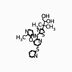 Cc1ncccc1Oc1cc(Sc2ccccn2)cnc1Nc1nc(C(C)(C)C(O)CO)cs1